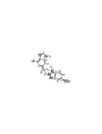 Cn1cnc2c(F)cc(C(C)(C)C[n+]3nc4cc(C(C)(C)C)ccc4n3C)cc21